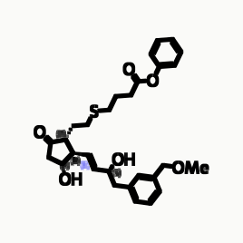 COCc1cccc(C[C@H](O)/C=C/[C@H]2[C@H](O)CC(=O)[C@@H]2CCSCCCC(=O)Oc2ccccc2)c1